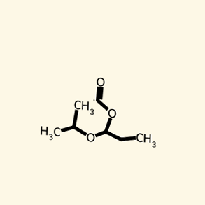 CCC(O[C]=O)OC(C)C